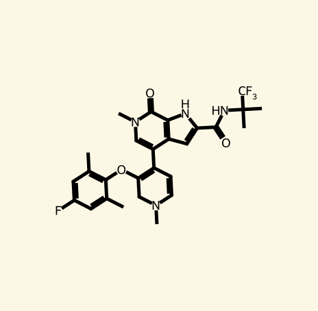 Cc1cc(F)cc(C)c1OC1=C(c2cn(C)c(=O)c3[nH]c(C(=O)NC(C)(C)C(F)(F)F)cc23)C=CN(C)C1